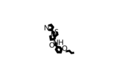 CCCCOc1cccc(C(=O)Nc2ccn3c2CSC3c2cccnc2)c1